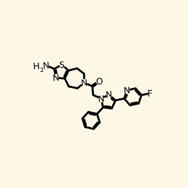 Nc1nc2c(s1)CCN(C(=O)Cn1nc(-c3ccc(F)cn3)cc1-c1ccccc1)CC2